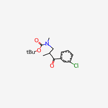 CC(CN(C)C(=O)OC(C)(C)C)C(=O)c1cccc(Cl)c1